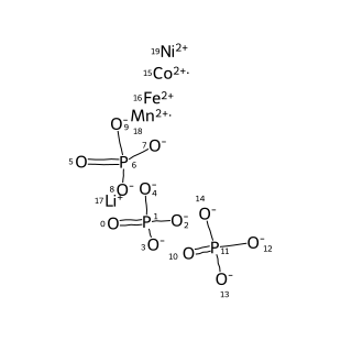 O=P([O-])([O-])[O-].O=P([O-])([O-])[O-].O=P([O-])([O-])[O-].[Co+2].[Fe+2].[Li+].[Mn+2].[Ni+2]